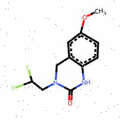 COc1ccc2c(c1)CN(CC(F)F)C(=O)N2